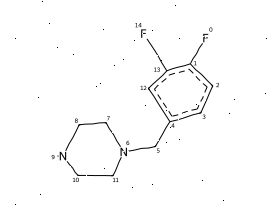 Fc1ccc(CN2CC[N]CC2)cc1F